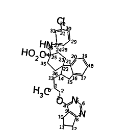 C[C@@H](COc1ncnc2c1CCC2)CC1Cc2ccccc2C12CCC(Nc1cccc(Cl)c1)(C(=O)O)CC2